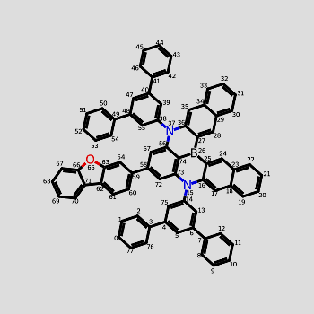 c1ccc(-c2cc(-c3ccccc3)cc(N3c4cc5ccccc5cc4B4c5cc6ccccc6cc5N(c5cc(-c6ccccc6)cc(-c6ccccc6)c5)c5cc(-c6ccc7c(c6)oc6ccccc67)cc3c54)c2)cc1